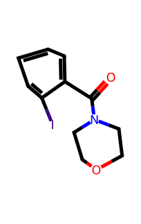 O=C(c1ccccc1I)N1CCOCC1